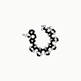 [C-]#[N+]/C(=C\c1sc(-c2sc(-c3sc(-c4sc(-c5sc(-c6sc(-c7ccc8c(c7)CCc7ccccc7N8CC)c7c6OCCO7)c6c5OCCO6)c5c4OCCO5)c4c3OCCO4)c3c2OCCO3)c2c1OCCO2)C(=O)O